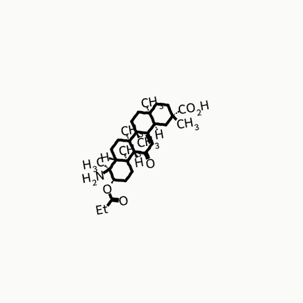 CCC(=O)O[C@H]1CC[C@]2(C)[C@H]3C(=O)C=C4[C@@H]5C[C@@](C)(C(=O)O)CC[C@]5(C)CC[C@@]4(C)[C@]3(C)CC[C@H]2[C@]1(C)N